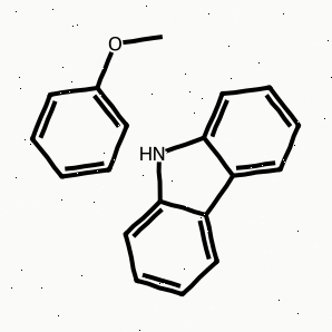 COc1ccccc1.c1ccc2c(c1)[nH]c1ccccc12